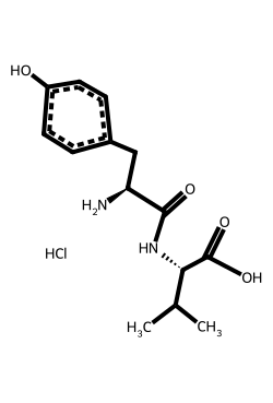 CC(C)[C@H](NC(=O)[C@@H](N)Cc1ccc(O)cc1)C(=O)O.Cl